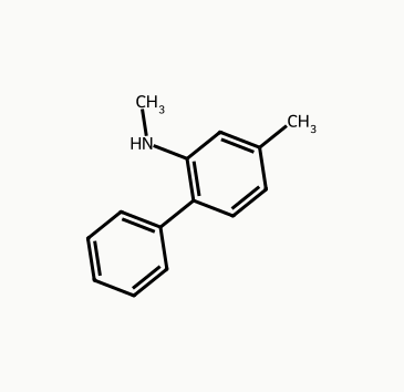 CNc1cc(C)ccc1-c1ccccc1